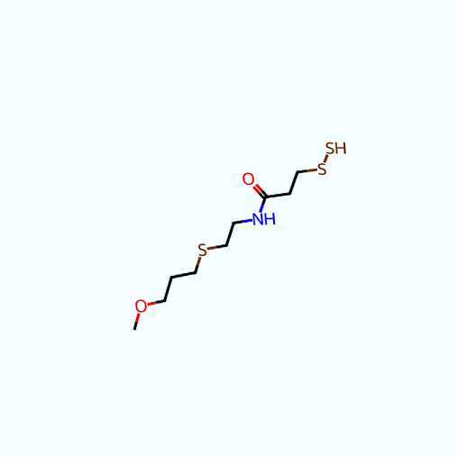 COCCCSCCNC(=O)CCSS